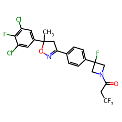 CC1(c2cc(Cl)c(F)c(Cl)c2)CC(c2ccc(C3(F)CN(C(=O)CC(F)(F)F)C3)cc2)=NO1